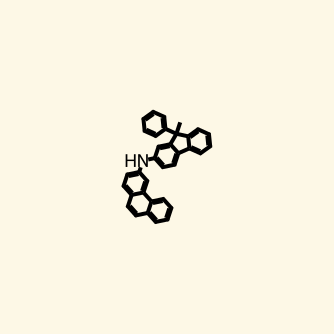 CC1(c2ccccc2)c2ccccc2-c2ccc(Nc3ccc4ccc5ccccc5c4c3)cc21